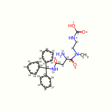 CN(CCNC(=O)O)C(=O)C(N)CC(=O)NC(c1ccccc1)(c1ccccc1)c1ccccc1